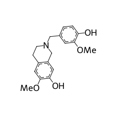 COc1cc(CN2CCc3cc(OC)c(O)cc3C2)ccc1O